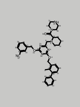 Cc1c(COc2nc(CN3CCCCC3C(=O)N3CCNCC3)nc(OCc3cccc(C#N)c3)n2)cccc1-c1ccccc1